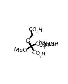 COC(OCC(=O)O)(C(=O)O)C(=O)O.[NaH].[NaH].[NaH]